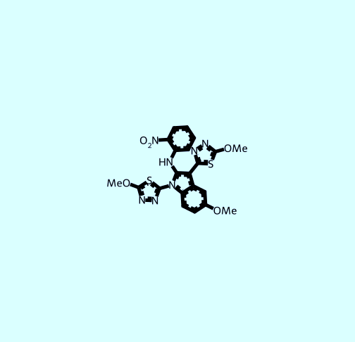 COc1ccc2c(c1)c(-c1nnc(OC)s1)c(Nc1ccccc1[N+](=O)[O-])n2-c1nnc(OC)s1